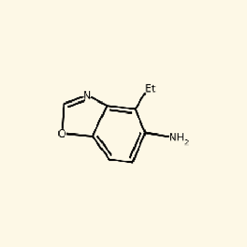 CCc1c(N)ccc2ocnc12